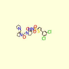 O=C1[C@@H](NS(=O)(=O)c2ccc(-c3cc(Cl)cc(Cl)c3)s2)CCCN1CC(=O)N1CCC[C@H]1CN1CCCC1